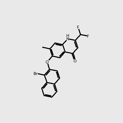 Cc1cc2[nH]c(C(F)F)cc(=O)c2cc1Oc1ccc2ccccc2c1Br